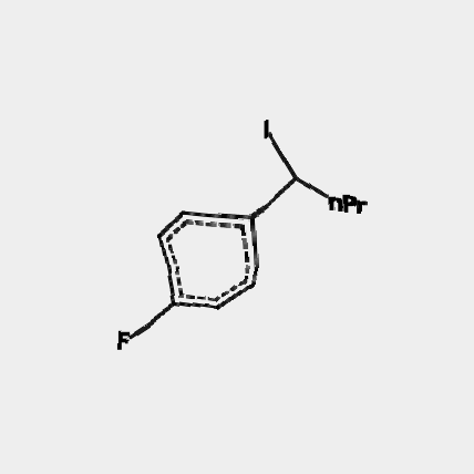 CCCC(I)c1ccc(F)cc1